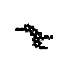 CCC(=Cc1oc2ccc(OC)cc2[n+]1CC)C=C1Oc2ccc(OC)cc2N1CCS(=O)(=O)O